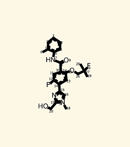 Cc1ccccc1NC(=O)c1cc(F)c(-c2cn(C)c(CO)n2)cc1OCC(C)(C)F